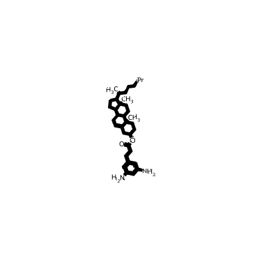 CC(C)CCCC(C)C1CCC2C3CC=C4CC(OC(=O)CCc5cc(N)cc(N)c5)CCC4(C)C3CCC12C